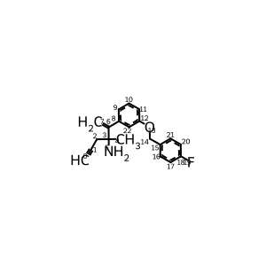 C#CCC(C)(N)C(=C)c1cccc(OCc2ccc(F)cc2)c1